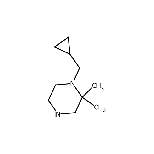 CC1(C)CNCCN1CC1CC1